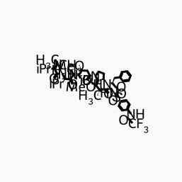 CCC(C)C([C@@H](CC(=O)N1CCC[C@H]1[C@H](OC)[C@@H](C)C(=O)N[C@@H](Cc1ccccc1)C(=O)NS(=O)(=O)c1ccc(NC(=O)C(F)(F)F)cc1)OC)N(C)C(=O)[C@@H](NC(=O)C(C(C)C)N(C)C)C(C)C